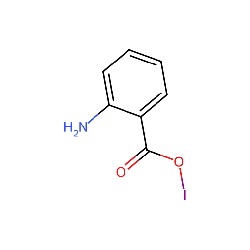 Nc1ccccc1C(=O)OI